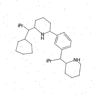 CC(C)C(c1cccc(C2CCCC(C(C(C)C)C3CCCCC3)N2)c1)C1CCCCN1